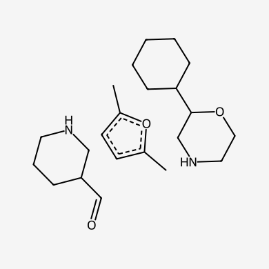 C1CCC(C2CNCCO2)CC1.Cc1ccc(C)o1.O=CC1CCCNC1